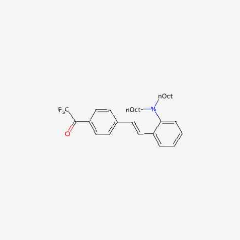 CCCCCCCCN(CCCCCCCC)c1ccccc1/C=C/c1ccc(C(=O)C(F)(F)F)cc1